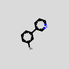 CC(C)c1cccc(-c2[c]nccc2)c1